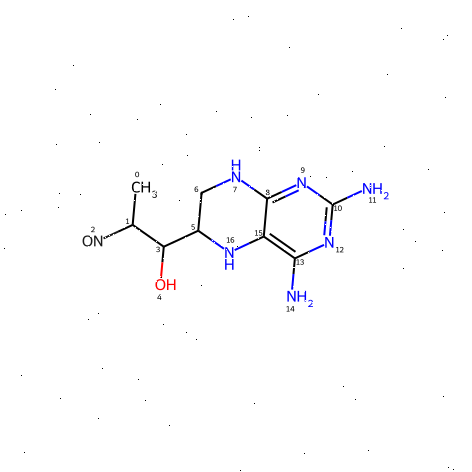 CC(N=O)C(O)C1CNc2nc(N)nc(N)c2N1